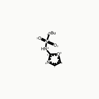 CCCCS(=O)(=O)Nc1ncco1